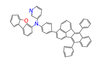 c1ccc(-c2c3c(c(-c4ccccc4)c4ccccc24)-c2ccc(-c4ccc(N(c5cccnc5)c5cccc6c5oc5ccccc56)cc4)c4cccc-3c24)cc1